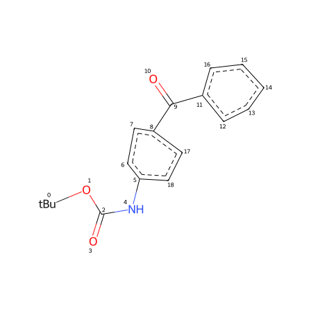 CC(C)(C)OC(=O)Nc1ccc(C(=O)c2ccccc2)cc1